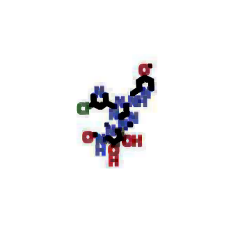 COc1ccnc(CNc2nc(-c3cncc(Cl)c3)nc3c2ncn3[C@H]2[C@H](O)[C@H](O)[C@@H](NC=O)N2C)c1